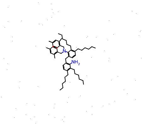 CCCCCCc1ccc(Cc2ccc(CCCCCC)c(CCCCCC)c2N(Cc2ccc(C)cc2C)Cc2ccc(C)cc2C)c(N)c1CCCCCC